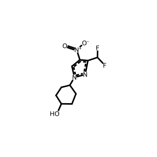 O=[N+]([O-])c1cn(C2CCC(O)CC2)nc1C(F)F